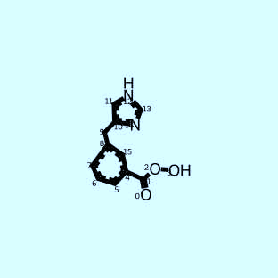 O=C(OO)c1cccc(Cc2c[nH]cn2)c1